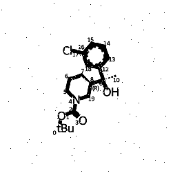 CC(C)(C)OC(=O)N1CCC[C@@H]([C@](C)(O)c2cccc(Cl)c2)C1